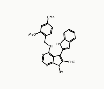 COc1ccc(CNc2ncnc3c2c(-c2cc4ccccc4[nH]2)c(C=O)n3C(C)C)c(OC)c1